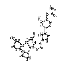 NC(=O)Oc1ccc(-c2cnc(C3CCc4cc(-c5cc(Cl)ccc5-n5cnnn5)cc(=O)n43)[nH]2)cc1F